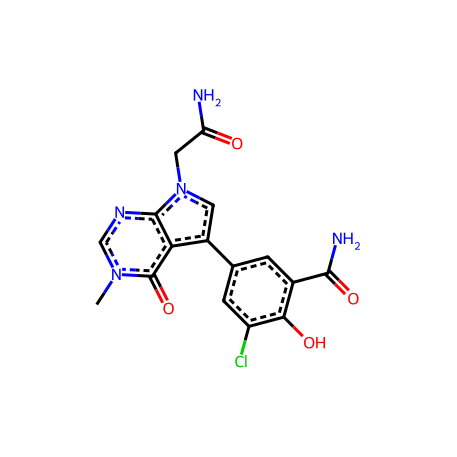 Cn1cnc2c(c(-c3cc(Cl)c(O)c(C(N)=O)c3)cn2CC(N)=O)c1=O